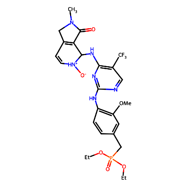 CCOP(=O)(Cc1ccc(Nc2ncc(C(F)(F)F)c(NC3C4=C(C=C[NH+]3[O-])CN(C)C4=O)n2)c(OC)c1)OCC